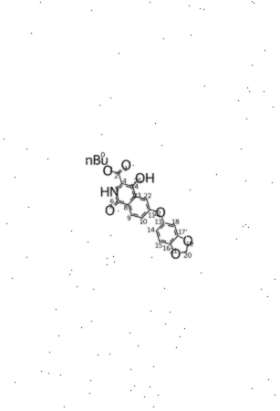 CCCCOC(=O)c1[nH]c(=O)c2ccc(Oc3ccc4c(c3)OCO4)cc2c1O